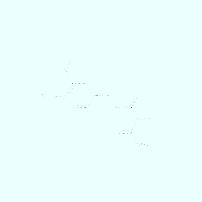 CCCN(C(=O)CCc1ccc(OC)c(NS(=O)(=O)O)c1)C(=O)NC